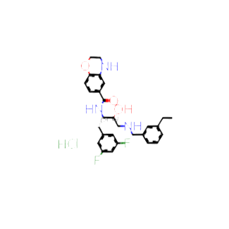 CCc1cccc(CNC[C@H](O)[C@H](Cc2cc(F)cc(F)c2)NC(=O)c2ccc3c(c2)NCCO3)c1.Cl